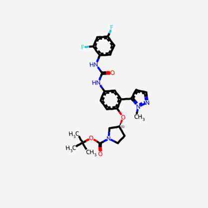 Cn1nccc1-c1cc(NC(=O)Nc2ccc(F)cc2F)ccc1O[C@H]1CCN(C(=O)OC(C)(C)C)C1